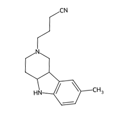 Cc1ccc2c(c1)C1CN(CCCC#N)CCC1N2